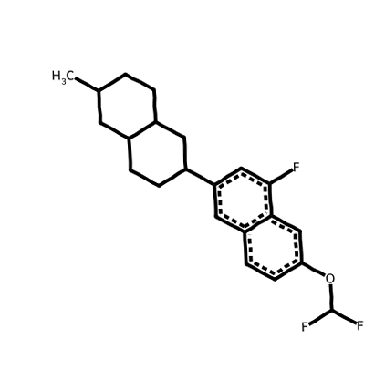 CC1CCC2CC(c3cc(F)c4cc(OC(F)F)ccc4c3)CCC2C1